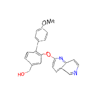 COc1ccc(-c2ccc(CO)cc2Oc2ccc3cnccc3n2)cc1